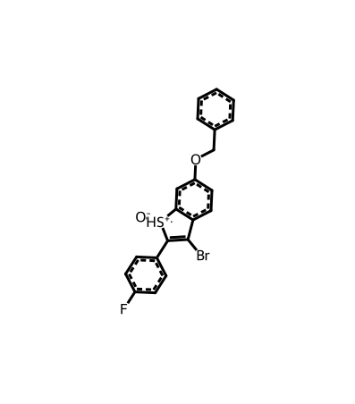 [O-][SH+]1C(c2ccc(F)cc2)=C(Br)c2ccc(OCc3ccccc3)cc21